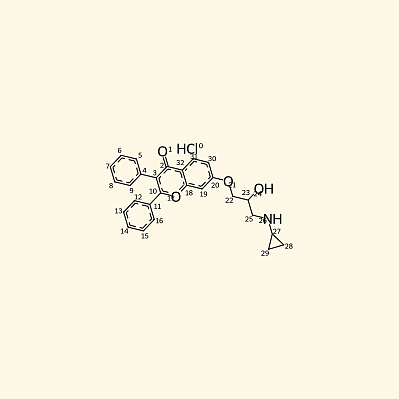 Cl.O=c1c(-c2ccccc2)c(-c2ccccc2)oc2cc(OCC(O)CNC3CC3)ccc12